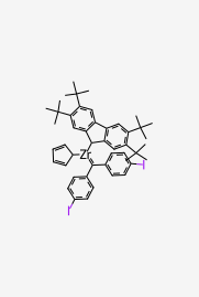 CC(C)(C)c1cc2c(cc1C(C)(C)C)[CH]([Zr](=[C](c1ccc(I)cc1)c1ccc(I)cc1)[CH]1C=CC=C1)c1cc(C(C)(C)C)c(C(C)(C)C)cc1-2